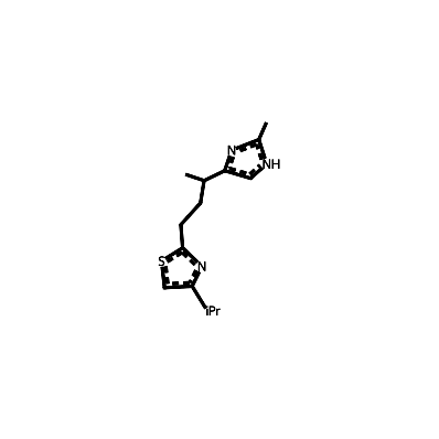 Cc1nc(C(C)CCc2nc(C(C)C)cs2)c[nH]1